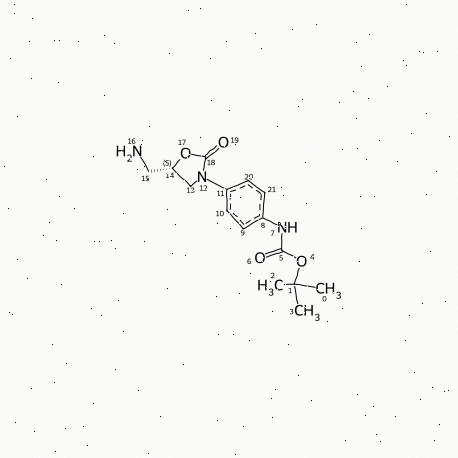 CC(C)(C)OC(=O)Nc1ccc(N2C[C@H](CN)OC2=O)cc1